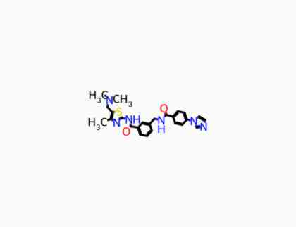 Cc1nc(NC(=O)c2cccc(CNC(=O)c3ccc(-n4ccnc4)cc3)c2)sc1CN(C)C